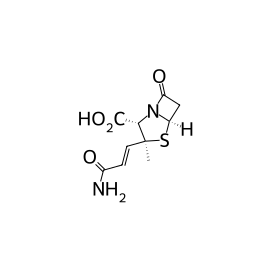 C[C@@]1(/C=C/C(N)=O)S[C@@H]2CC(=O)N2[C@H]1C(=O)O